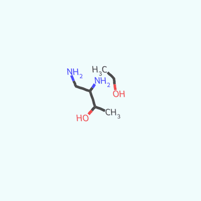 CC(O)C(N)CN.CCO